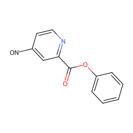 O=Nc1ccnc(C(=O)Oc2ccccc2)c1